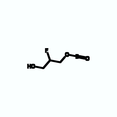 O=BOCC(F)CO